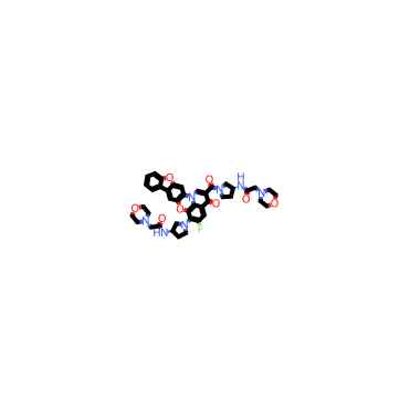 O=C(CN1CCOCC1)N[C@@H]1CCN(C(=O)c2cn3c4c(c(N5CC[C@@H](NC(=O)CN6CCOCC6)C5)c(F)cc4c2=O)Oc2cc4c(cc2-3)oc2ccccc24)C1